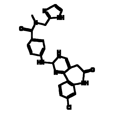 CN(Cc1ncc[nH]1)C(=O)c1ccc(NC2N=C3C(=CN2)CC(=O)Nc2cc(Cl)ccc23)cc1